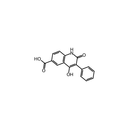 O=C(O)c1ccc2[nH]c(=O)c(-c3ccccc3)c(O)c2c1